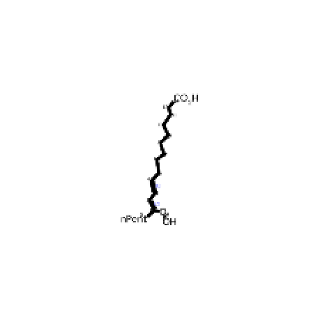 CCCCC/C(=C/C=C/CCCCCCCCC(=O)O)OO